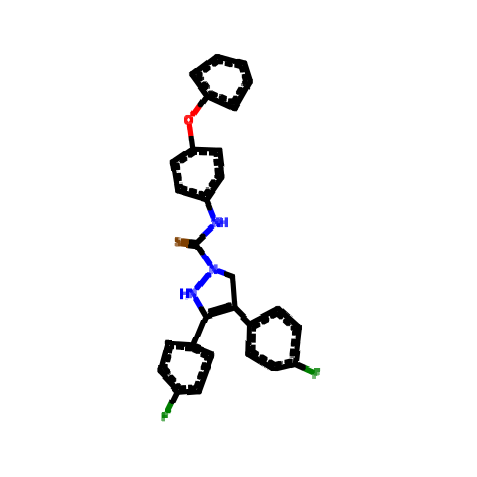 Fc1ccc(C2=C(c3ccc(F)cc3)NN(C(=S)Nc3ccc(Oc4ccccc4)cc3)C2)cc1